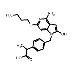 CCCCOc1nc(N)c2nc(O)n(Cc3ccc(C(C)C(=O)O)cc3)c2n1